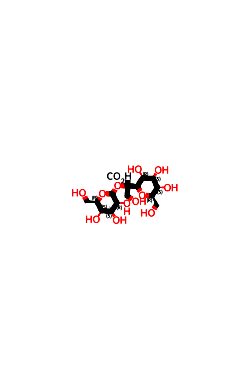 O=C(O)C(CO)(OC1O[C@H](CO)[C@@H](O)[C@H](O)[C@H]1O)C1O[C@H](CO)[C@@H](O)[C@H](O)[C@H]1O